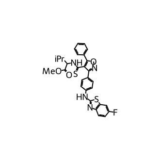 COC(=O)C(NC(=S)c1c(-c2ccc(Nc3nc4ccc(F)cc4s3)cc2)noc1-c1ccccc1)C(C)C